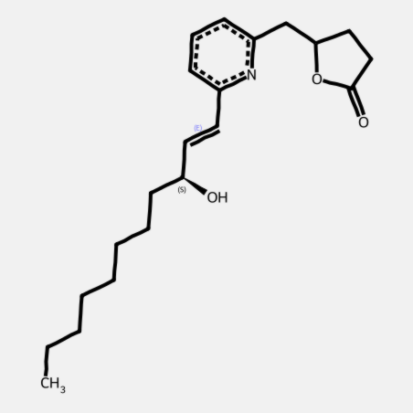 CCCCCCCC[C@H](O)/C=C/c1cccc(CC2CCC(=O)O2)n1